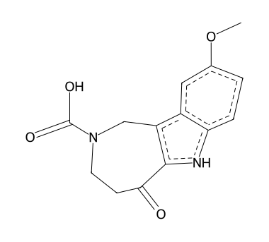 COc1ccc2[nH]c3c(c2c1)CN(C(=O)O)CCC3=O